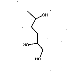 [CH2]C(O)CCC(O)CO